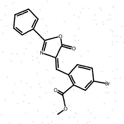 COC(=O)c1cc(Br)ccc1/C=C1/N=C(c2ccccc2)OC1=O